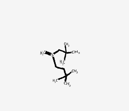 C=S(CCC(C)(C)C)CC(C)(C)C